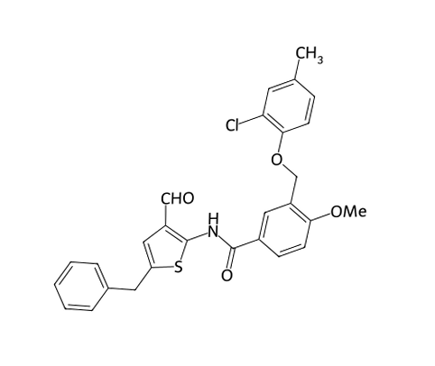 COc1ccc(C(=O)Nc2sc(Cc3ccccc3)cc2C=O)cc1COc1ccc(C)cc1Cl